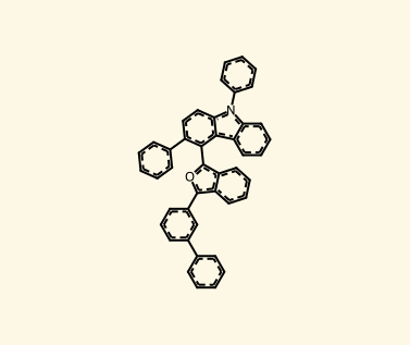 c1ccc(-c2cccc(-c3oc(-c4c(-c5ccccc5)ccc5c4c4ccccc4n5-c4ccccc4)c4ccccc34)c2)cc1